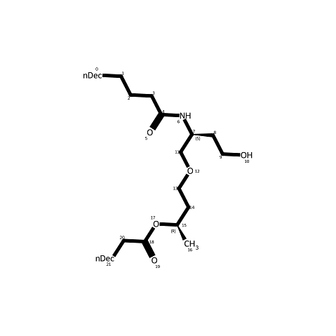 CCCCCCCCCCCCCC(=O)N[C@@H](CCO)COCC[C@@H](C)OC(=O)CCCCCCCCCCC